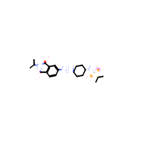 CC(C)N1C(=O)c2ccc(NC[C@H]3CC[C@H](NS(=O)(=O)C(C)C)CC3)cc2C1=O